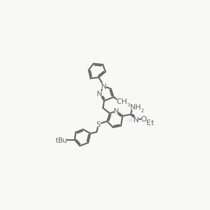 CCO/N=C(\N)c1ccc(SCc2ccc(C(C)(C)C)cc2)c(Cc2nn(-c3ccccc3)cc2C)n1